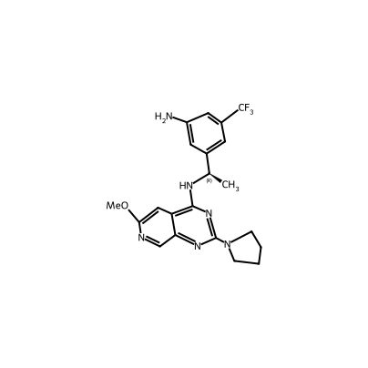 COc1cc2c(N[C@H](C)c3cc(N)cc(C(F)(F)F)c3)nc(N3CCCC3)nc2cn1